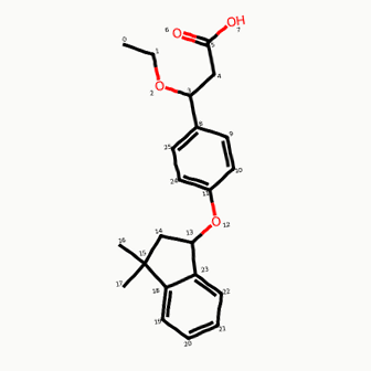 CCOC(CC(=O)O)c1ccc(OC2CC(C)(C)c3ccccc32)cc1